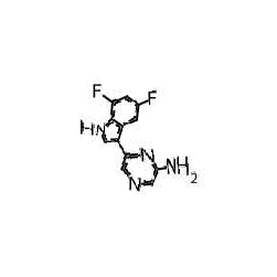 Nc1cncc(-c2c[nH]c3c(F)cc(F)cc23)n1